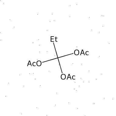 CCC(OC(C)=O)(OC(C)=O)OC(C)=O